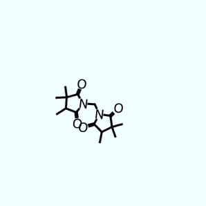 CC1C(=O)N(CN2C(=O)C(C)C(C)(C)C2=O)C(=O)C1(C)C